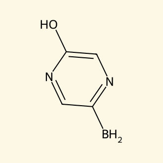 Bc1cnc(O)cn1